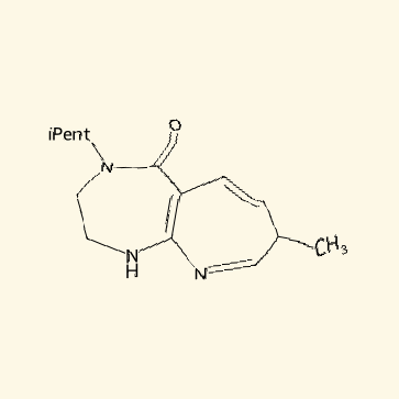 CCCC(C)N1CCNC2=C(C=CC(C)C=N2)C1=O